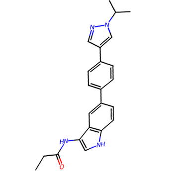 CCC(=O)Nc1c[nH]c2ccc(-c3ccc(-c4cnn(C(C)C)c4)cc3)cc12